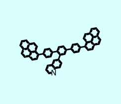 c1cnc2ccc(-c3cc(-c4ccc(-c5ccc6ccc7cccc8ccc5c6c78)cc4)ccc3-c3ccc(-c4ccc5ccc6cccc7ccc4c5c67)cc3)cc2c1